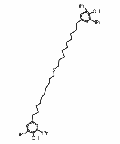 CC(C)c1cc(CCCCCCCCCCSCCCCCCCCCCc2cc(C(C)C)c(O)c(C(C)C)c2)cc(C(C)C)c1O